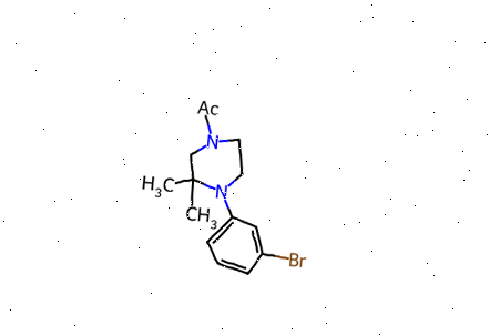 CC(=O)N1CCN(c2cccc(Br)c2)C(C)(C)C1